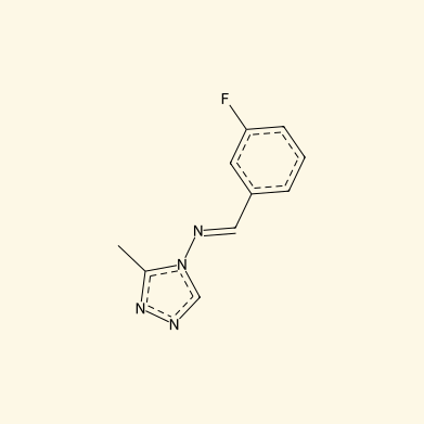 Cc1nncn1N=Cc1cccc(F)c1